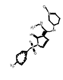 CN/C(N[C@@H]1CCCN(Cl)C1)=C1/C=CN(S(=O)(=O)c2ccc(C)cc2)C1=N